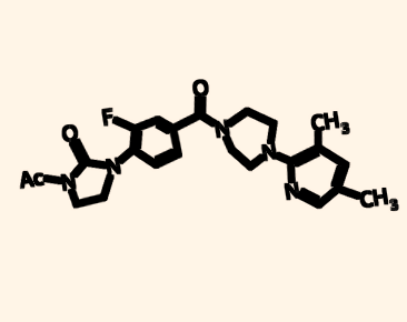 CC(=O)N1CCN(c2ccc(C(=O)N3CCN(c4ncc(C)cc4C)CC3)cc2F)C1=O